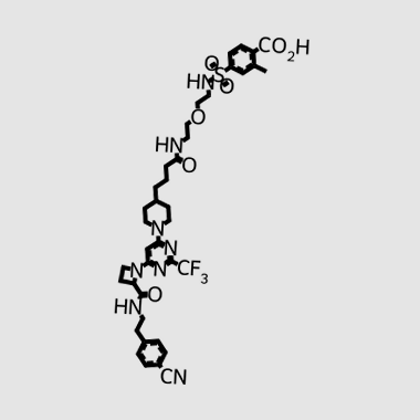 Cc1cc(S(=O)(=O)NCCOCCNC(=O)CCCC2CCN(c3cc(N4CCC4C(=O)NCCc4ccc(C#N)cc4)nc(C(F)(F)F)n3)CC2)ccc1C(=O)O